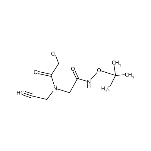 C#CCN(CC(=O)NOC(C)(C)C)C(=O)CCl